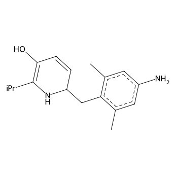 Cc1cc(N)cc(C)c1CC1C=CC(O)=C(C(C)C)N1